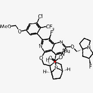 COCOc1cc(Cl)c(C(F)(F)F)c(-c2nc3c4c(nc(OC[C@]56CCCN5C[C@@H](F)C6)nc4c2F)N2C[C@H]4CC[C@@H]([C@H]2CO3)N4C(=O)OC(C)(C)C)c1